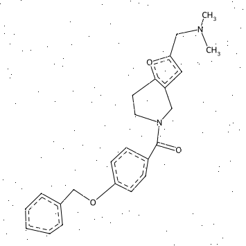 CN(C)Cc1cc2c(o1)CCN(C(=O)c1ccc(OCc3ccccc3)cc1)C2